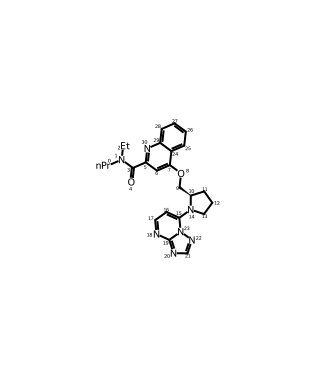 CCCN(CC)C(=O)c1cc(OC[C@H]2CCCN2c2ccnc3ncnn23)c2ccccc2n1